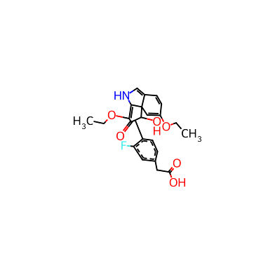 CCOC1=CC23C(=CNC2=C(OCC)C(=O)C(c2ccc(CC(=O)O)cc2F)C3O)C=C1